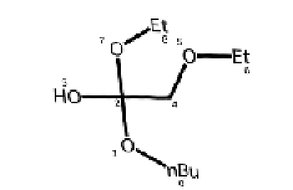 CCCCOC(O)(COCC)OCC